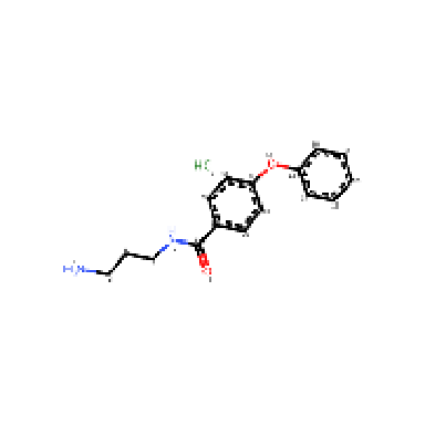 Cl.NCCCNC(=O)c1ccc(Oc2ccccc2)cc1